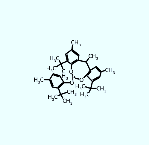 Cc1ccc(OP2Oc3c(cc(C)cc3C(C)(C)C)C(C)c3cc(C)cc(C(C)(C)C)c3O2)c(C(C)(C)C)c1